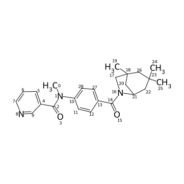 CN(C(=O)c1cccnc1)c1ccc(C(=O)N2CC3(C)CC2CC(C)(C)C3)cc1